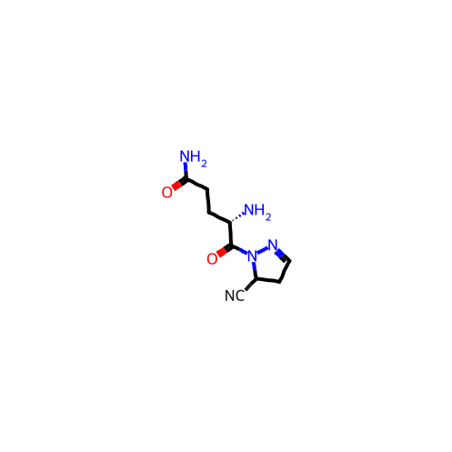 N#CC1CC=NN1C(=O)[C@@H](N)CCC(N)=O